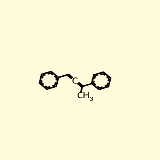 CC(=C=Cc1ccccc1)c1ccccc1